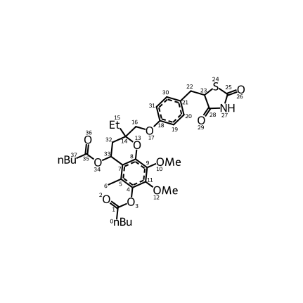 CCCCC(=O)Oc1c(C)c2c(c(OC)c1OC)OC(CC)(COc1ccc(CC3SC(=O)NC3=O)cc1)CC2OC(=O)CCCC